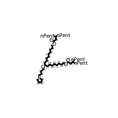 CCCCCC(CCCCC)CC(=O)OCCCCCCCCCC(CCCCCCCCOC(=O)CC(CCCCC)CCCCC)OCCCCN1CCCC1